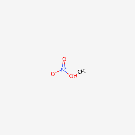 O=[N+]([O-])O.[CH]